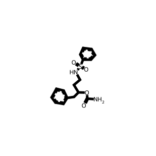 NC(=O)OC(CCNS(=O)(=O)c1ccccc1)Cc1ccccc1